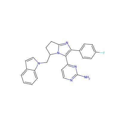 Nc1nccc(-c2c(-c3ccc(F)cc3)nc3n2C(Cn2ccc4ccccc42)CC3)n1